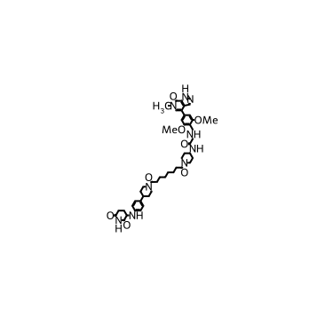 COc1cc(-c2cn(C)c(=O)c3[nH]ncc23)cc(OC)c1CNCC(=O)NC1CCN(C(=O)CCCCCCC(=O)N2CCC(c3ccc(NC4CCC(=O)NC4=O)cc3)CC2)CC1